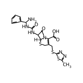 Cc1nnc(SCC2=C(C(=O)O)N3C(=O)C(NC(=O)NC(N)c4ccccc4)[C@@H]3SC2)s1